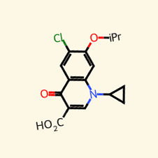 CC(C)Oc1cc2c(cc1Cl)c(=O)c(C(=O)O)cn2C1CC1